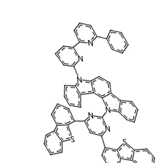 c1ccc(-c2cccc(-c3cccc(-n4c5ccccc5c5c4ccc4c6ccccc6n(-c6nc(-c7cccc8c7sc7ccccc78)cc(-c7cccc8c7sc7ccccc78)n6)c45)n3)n2)cc1